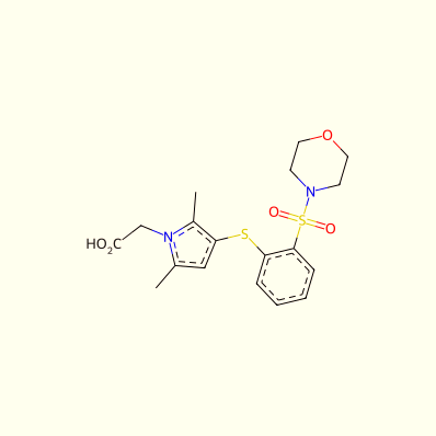 Cc1cc(Sc2ccccc2S(=O)(=O)N2CCOCC2)c(C)n1CC(=O)O